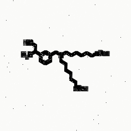 CCCCCCCCCCCCCCCCN(CCCCCCCCCCCCCCCC)Cc1cccc(C(N)CO)c1